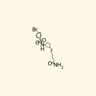 NC(=O)CCCC=CC1CCC(NS(=O)(=O)c2ccc(Br)cc2)C1